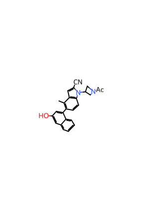 CC(=O)N1CC(n2c(C#N)cc3c(C)c(-c4cc(O)cc5ccccc45)ccc32)C1